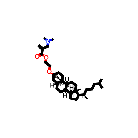 C=C(CN(C)C)C(=O)OCCO[C@H]1CC[C@@]2(C)[C@H](CC[C@@H]3[C@H]2CC[C@]2(C)C([C@H](C)CCCC(C)C)CC[C@H]32)C1